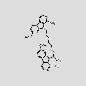 COc1ccc2c3ccnc(C)c3n(CCCCCCCC(C)n3c4cc(OC)ccc4c4ccnc(C)c43)c2c1